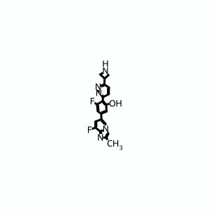 Cc1cn2cc(-c3cc(O)c(-c4ccc(C5CNC5)nn4)c(F)c3)cc(F)c2n1